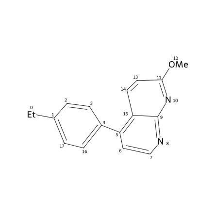 CCc1ccc(-c2ccnc3nc(OC)ccc23)cc1